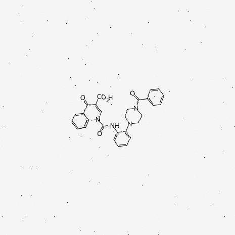 O=C(O)c1cn(C(=O)Nc2ccccc2N2CCN(C(=O)c3ccccc3)CC2)c2ccccc2c1=O